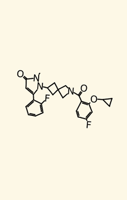 Cn1c(=O)cc(-c2ccccc2F)n1C1CC2(C1)CN(C(=O)c1ccc(F)cc1OC1CC1)C2